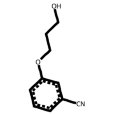 N#Cc1cccc(OCCCO)c1